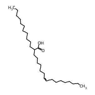 CCCCCCCC/C=C\CCCCCCC(CCCCCCCCCCC)C(=O)O